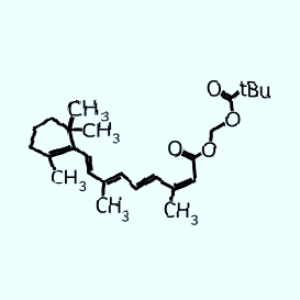 CC(C=CC1=C(C)CCCC1(C)C)=CC=C/C(C)=C\C(=O)OCOC(=O)C(C)(C)C